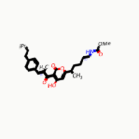 COC(=O)N/C=C/CCC(C)c1cc(O)c(C(=O)/C(C)=C/c2ccc(CCC(C)C)cc2)c(=O)o1